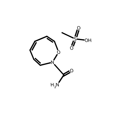 CS(=O)(=O)O.NC(=O)n1cccccco1